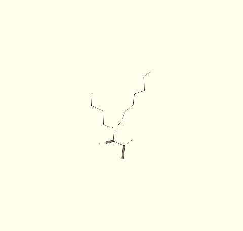 C=C(C)C(=O)N(CCCC)NCCCCCC